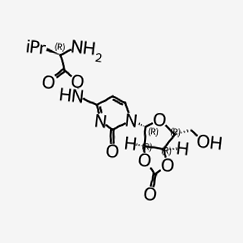 CC(C)[C@@H](N)C(=O)ONc1ccn([C@@H]2O[C@H](CO)[C@H]3OC(=O)O[C@H]32)c(=O)n1